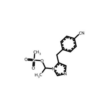 CC(OS(C)(=O)=O)n1cncc1Cc1ccc(C#N)cc1